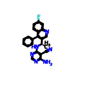 C[C@H](Nc1ncnc(N)c1C#N)c1cnc2cc(F)ccc2c1-c1ccccc1